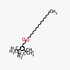 CCCCCCCCCCCCCCCCCCOC(=O)CCc1cc(C(C)(C)C)cc(C(C)(C)C)c1